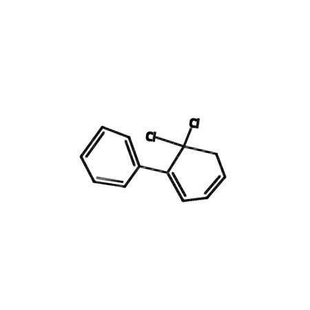 ClC1(Cl)CC=CC=C1c1ccccc1